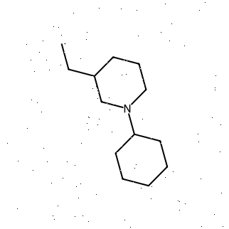 [CH2]CC1CCCN(C2CCCCC2)C1